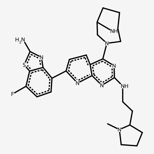 CN1CCCC1CCNc1nc(N2CC3CCC(C2)N3)c2ccc(-c3ccc(F)c4sc(N)nc34)nc2n1